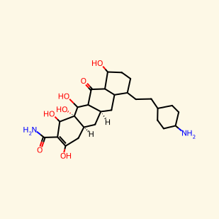 NC(=O)C1=C(O)C[C@@H]2C[C@@H]3CC4C(CCC5CCC(N)CC5)CCC(O)C4C(=O)C3C(O)[C@]2(O)C1O